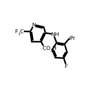 CC(C)c1cc(F)ccc1Nc1cnc(C(F)(F)F)cc1C(=O)O